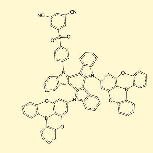 N#Cc1cc(C#N)cc(S(=O)(=O)c2ccc(-n3c4ccccc4c4c3c3c5ccccc5n(-c5cc6c7c(c5)Oc5ccccc5B7c5ccccc5O6)c3c3c5ccccc5n(-c5cc6c7c(c5)Oc5ccccc5B7c5ccccc5O6)c43)cc2)c1